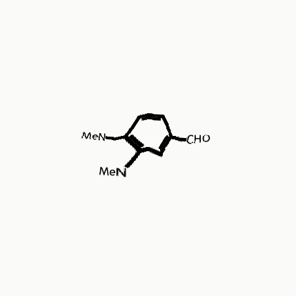 CNc1ccc(C=O)cc1NC